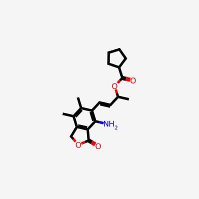 Cc1c(C)c2c(c(N)c1/C=C/C(C)OC(=O)C1CCCC1)C(=O)OC2